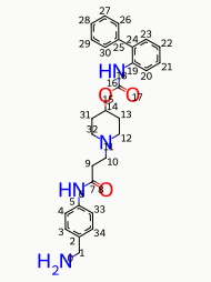 NCc1ccc(NC(=O)CCN2CCC(OC(=O)Nc3ccccc3-c3ccccc3)CC2)cc1